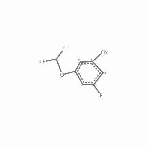 N#Cc1cc(F)cc(OC(F)F)c1